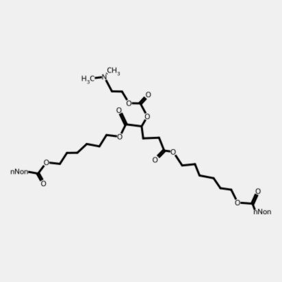 CCCCCCCCCC(=O)OCCCCCCOC(=O)CCC(OC(=O)OCCN(C)C)C(=O)OCCCCCCOC(=O)CCCCCCCCC